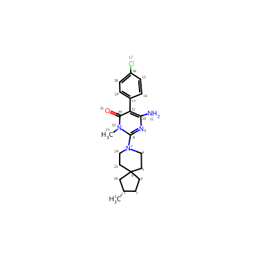 C[C@H]1CCC2(CCN(c3nc(N)c(-c4ccc(Cl)cc4)c(=O)n3C)CC2)C1